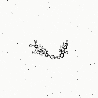 CC1(C)[C@H](NC(=O)c2ccc(N3CCN(CCOc4ccc5c(c4)C(=O)N(c4ccc(C(F)(F)F)[nH]c4=O)C5=O)CC3)cc2)C(C)(C)[C@H]1Oc1ccc(C#N)c(Cl)c1